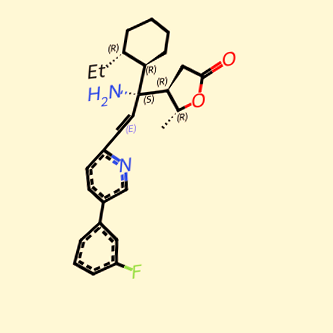 CC[C@@H]1CCCC[C@H]1[C@](N)(/C=C/c1ccc(-c2cccc(F)c2)cn1)[C@H]1CC(=O)O[C@@H]1C